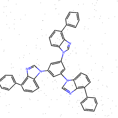 c1ccc(-c2cccc3c2ncn3-c2cc(-n3cnc4c(-c5ccccc5)cccc43)cc(-n3cnc4c(-c5ccccc5)cccc43)c2)cc1